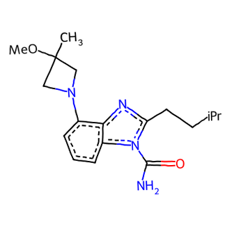 COC1(C)CN(c2cccc3c2nc(CCC(C)C)n3C(N)=O)C1